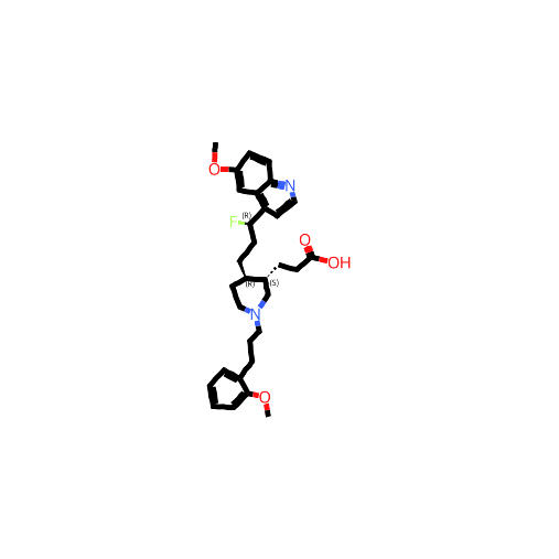 COc1ccc2nccc([C@H](F)CC[C@@H]3CCN(CCCc4ccccc4OC)C[C@H]3CCC(=O)O)c2c1